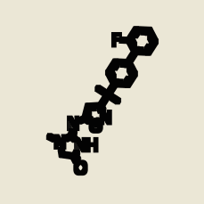 CN1CC(=O)N/C1=N\c1cc(C(C)(C)c2ccc(-c3ccccc3F)cc2)no1